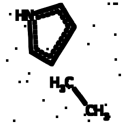 CC.c1cc[nH]c1